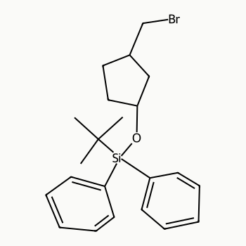 CC(C)(C)[Si](OC1CCC(CBr)C1)(c1ccccc1)c1ccccc1